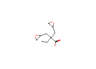 CCC(CC1CO1)(CC1CO1)C(=O)O